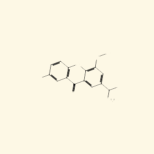 COC(C)c1cc(OC(C)C)c2oc3ccc(C(=O)O)cc3c(=O)c2c1